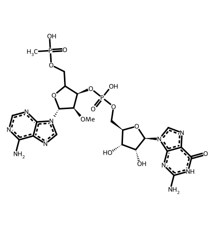 CO[C@@H]1[C@H](OP(=O)(O)OC[C@H]2O[C@@H](n3cnc4c(=O)[nH]c(N)nc43)[C@H](O)[C@@H]2O)C(COP(C)(=O)O)O[C@H]1n1cnc2c(N)ncnc21